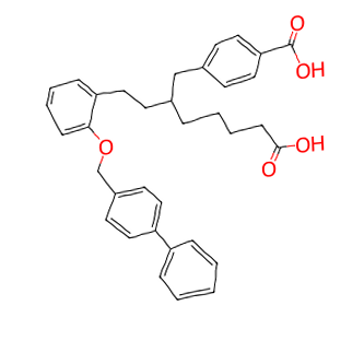 O=C(O)CCCCC(CCc1ccccc1OCc1ccc(-c2ccccc2)cc1)Cc1ccc(C(=O)O)cc1